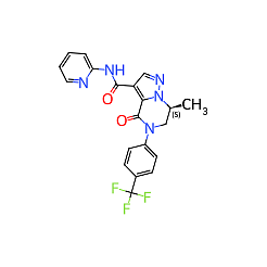 C[C@H]1CN(c2ccc(C(F)(F)F)cc2)C(=O)c2c(C(=O)Nc3ccccn3)cnn21